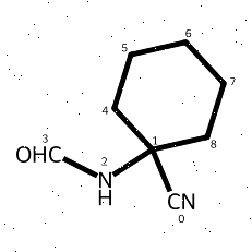 N#CC1(NC=O)CCCCC1